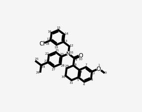 COc1ccc2c(c1)C(C(=O)N(Cc1cccc(Cl)c1)c1ccc(C(C)C)cc1)CCC2